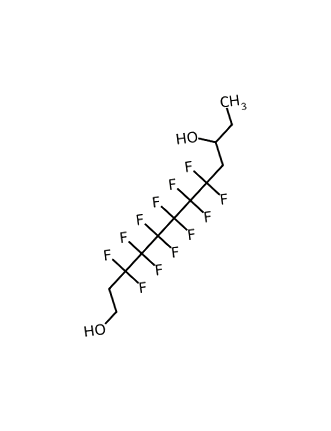 CCC(O)CC(F)(F)C(F)(F)C(F)(F)C(F)(F)C(F)(F)C(F)(F)CCO